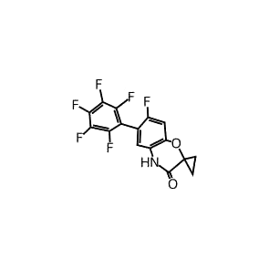 O=C1Nc2cc(-c3c(F)c(F)c(F)c(F)c3F)c(F)cc2OC12CC2